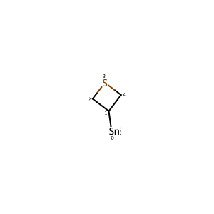 [Sn][CH]1CSC1